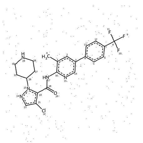 Cc1cc(-c2ccc(C(F)(F)F)cc2)cnc1NC(=O)c1c(Cl)cnn1C1CCNCC1